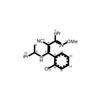 CCCC(=NOC)C(C#N)=C(NC(C)C(C)C)c1ccccc1Cl